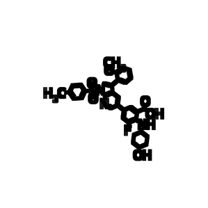 COc1ccccc1-c1cn(S(=O)(=O)c2ccc(C)cc2)c2ncc(-c3cc(F)c(N[C@H]4CC[C@H](O)CC4)c(C(=O)O)c3)cc12